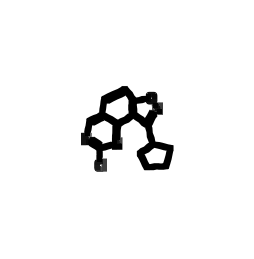 Clc1ncc2ccc3onc(C4CCCC4)c3c2n1